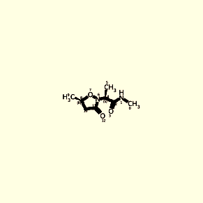 CNC(=O)[C@H](C)N1O[C@H](C)CC1=O